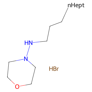 Br.CCCCCCCCCCNN1CCOCC1